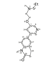 CCSN(C)CCOc1cncc(-c2ccc3c(c2)CCC(=O)N3C)c1